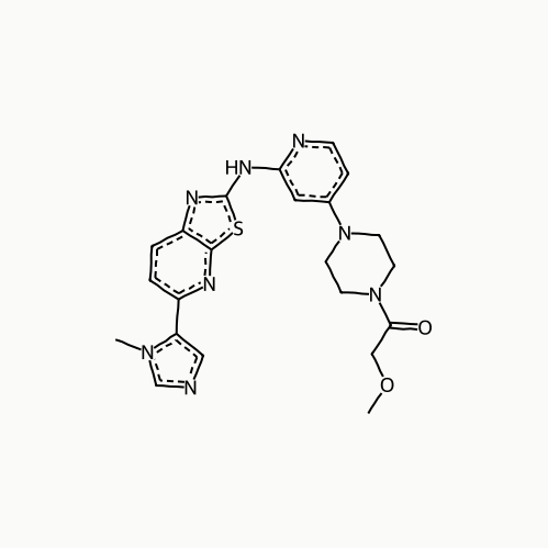 COCC(=O)N1CCN(c2ccnc(Nc3nc4ccc(-c5cncn5C)nc4s3)c2)CC1